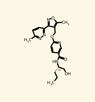 CCC[C@@H](CO)NC(=O)c1ccc(OCc2c(-c3ccc(C)nn3)noc2C)nc1